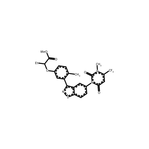 CCC(Oc1ccc(C)c(-c2nsc3ccc(-n4c(=O)cc(C(F)(F)F)n(C)c4=O)cc23)c1)C(=O)OC